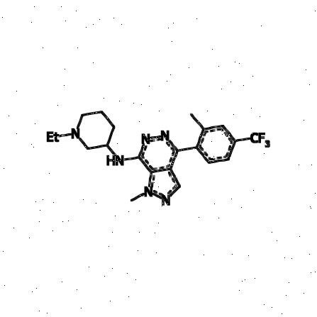 CCN1CCCC(Nc2nnc(-c3ccc(C(F)(F)F)cc3C)c3cnn(C)c23)C1